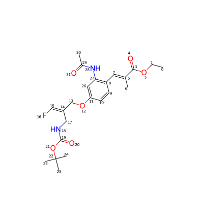 CCOC(=O)/C(C)=C/c1ccc(OC/C(=C/F)CNC(=O)OC(C)(C)C)cc1NC(C)=O